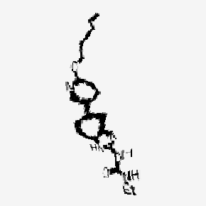 C=CCCCOc1ccc(-c2ccc3[nH]c(NC(=O)NCC)nc3c2)cn1